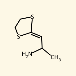 CC(N)C=C1SCCS1